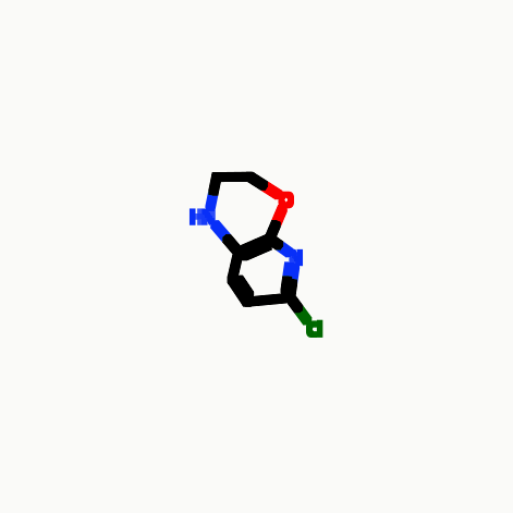 Clc1ccc2c(n1)OCCN2